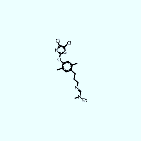 CCN(C)C=NCCCc1cc(C)c(Oc2nc(Cl)c(Cl)s2)cc1C